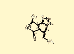 NC=c1cc2c(c(C(=O)O)c1C(=O)O)=NN=N2